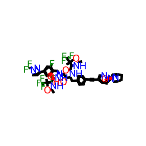 CC(=O)NC(C(=O)NC(Cc1ccc(C#Cc2ccc(N3CC4CCC(C3)N4C3COC3)nc2)cc1)C(O)CN(Cc1c(F)cc(-c2ccn(C(F)F)n2)cc1F)NC(=O)C(NC(C)=O)C(C)(C)C(F)(F)F)C(C)(C)C(F)(F)F